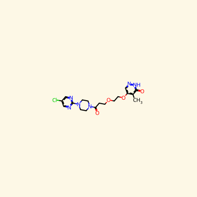 Cc1c(OCCOCCC(=O)N2CCN(c3ncc(Cl)cn3)CC2)cn[nH]c1=O